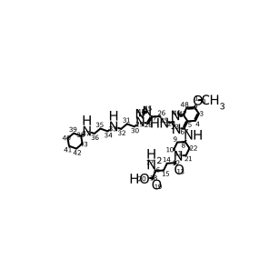 COc1ccc2c(NC3CCN(C(=O)CC[C@H](N)C(=O)O)CC3)nc(NCc3cn(CCCNCCCNC4CCCCC4)nn3)nc2c1